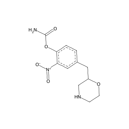 NC(=O)Oc1ccc(CC2CNCCO2)cc1[N+](=O)[O-]